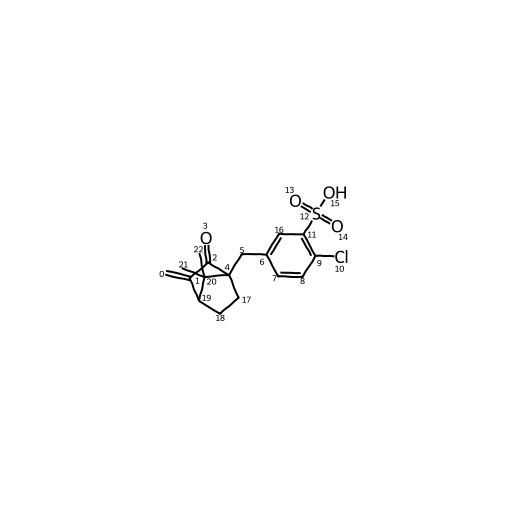 C=C1C(=O)C2(Cc3ccc(Cl)c(S(=O)(=O)O)c3)CCC1C2(C)C